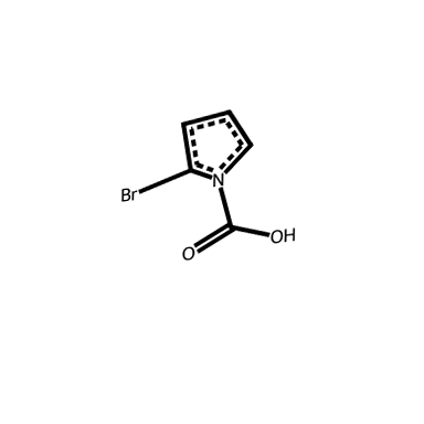 O=C(O)n1cccc1Br